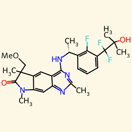 COCC1(C)C(=O)N(C)c2cc3nc(C)nc(N[C@H](C)c4cccc(C(F)(F)C(C)(C)O)c4F)c3cc21